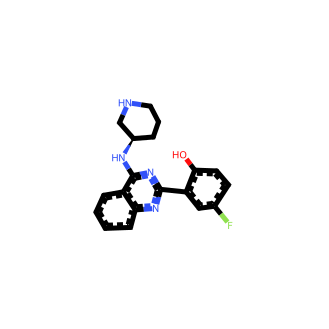 Oc1ccc(F)cc1-c1nc(N[C@@H]2CCCNC2)c2ccccc2n1